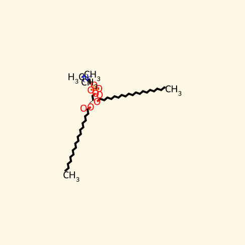 CCCCCCCCCCCCCCCCCCCC(=O)OC[C@H](COP(=O)([O-])OCC[N+](C)(C)C)OC(=O)CCCCCCCCCCCCCCCCCCC